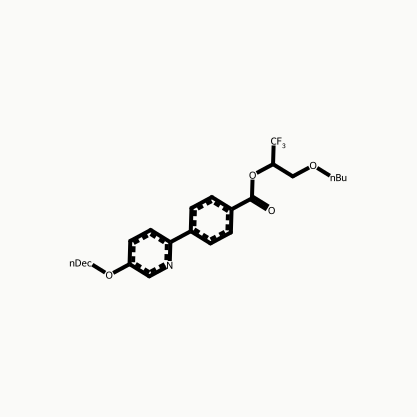 CCCCCCCCCCOc1ccc(-c2ccc(C(=O)OC(COCCCC)C(F)(F)F)cc2)nc1